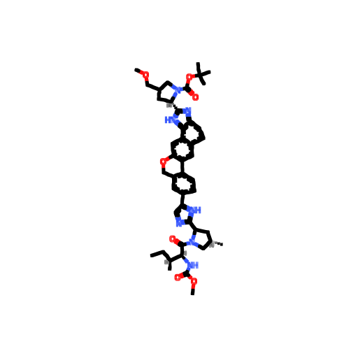 CC[C@H](C)[C@H](NC(=O)OC)C(=O)N1C[C@@H](C)CC1c1ncc(-c2ccc3c(c2)COc2cc4c(ccc5nc([C@@H]6CC(COC)CN6C(=O)OC(C)(C)C)[nH]c54)cc2-3)[nH]1